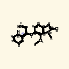 COc1c(O/C(C=N)=C2\C=NC=CN2)cnc2nc(Cl)n(C)c12